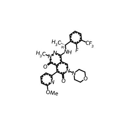 COc1cccc(-c2c(=O)n(N3CCOCC3)cc3c(N[C@H](C)c4cccc(C(F)(F)F)c4F)nn(C)c(=O)c23)n1